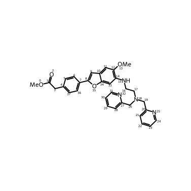 COC(=O)Cc1ccc(-c2cc3cc(OC)c(NCCN(Cc4ccccn4)Cc4ccccn4)cc3o2)cc1